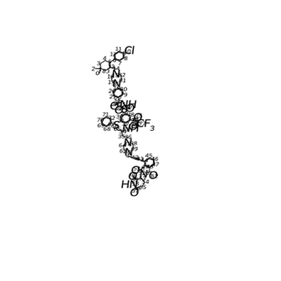 CC1(C)CCC(c2ccc(Cl)cc2)=C(CN2CCN(c3ccc(C(=O)NS(=O)(=O)c4ccc(NC(CCN5CCN(CC#Cc6cccc7c6C(=O)N(C6CCC(=O)NC6=O)C7=O)CC5)CSc5ccccc5)c(S(=O)(=O)C(F)(F)F)c4)cc3)CC2)C1